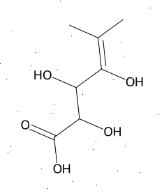 CC(C)=C(O)C(O)C(O)C(=O)O